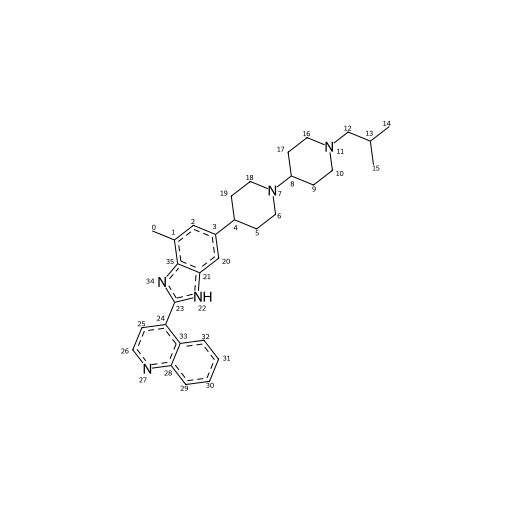 Cc1cc(C2CCN(C3CCN(CC(C)C)CC3)CC2)cc2[nH]c(-c3ccnc4ccccc34)nc12